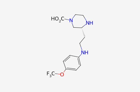 O=C(O)N1CCN[C@H](CCNc2ccc(OC(F)(F)F)cc2)C1